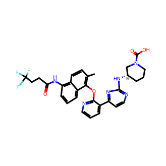 Cc1ccc2c(NC(=O)CCC(F)(F)F)cccc2c1Oc1ncccc1-c1ccnc(N[C@H]2CCCN(C(=O)O)C2)n1